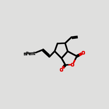 C=CC1CC(C=CCCCCC)C2C(=O)OC(=O)C12